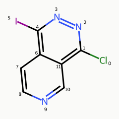 Clc1nnc(I)c2ccncc12